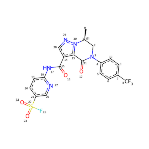 C[C@H]1CN(c2ccc(C(F)(F)F)cc2)C(=O)c2c(C(=O)Nc3ccc(S(=O)(=O)F)cn3)cnn21